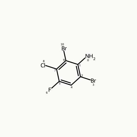 Nc1c(Br)cc(F)c(Cl)c1Br